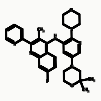 Cc1c(-c2ccccn2)nc2cc(F)ccc2c1Nc1cc(N2CCOC(C)(C)C2)cnc1N1CCOCC1